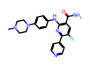 CN1CCN(c2ccc(Nc3nc(-c4ccncc4)c(F)cc3C(N)=O)cc2)CC1